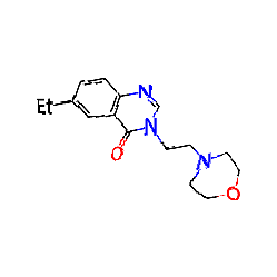 CCc1ccc2ncn(CCN3CCOCC3)c(=O)c2c1